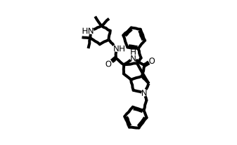 CC1(C)CC(NC(=O)C23CC4CN(Cc5ccccc5)C(C4C(=O)N2)C3Cc2ccccc2)CC(C)(C)N1